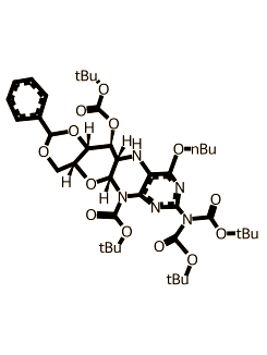 CCCCOc1nc(N(C(=O)OC(C)(C)C)C(=O)OC(C)(C)C)nc2c1N[C@H]1[C@H](OC(=O)OC(C)(C)C)[C@H]3OC(c4ccccc4)OC[C@H]3O[C@H]1N2C(=O)OC(C)(C)C